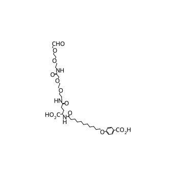 O=CCOCCOCCNC(=O)COCCOCCNC(=O)CCC(NC(=O)CCCCCCCCCCOc1ccc(C(=O)O)cc1)C(=O)O